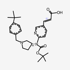 CC(C)(C)OC(=O)N(c1ccc(/C=C/C(=O)O)cn1)[C@@H]1CCN(Cc2ccc(C(C)(C)C)cc2)C1